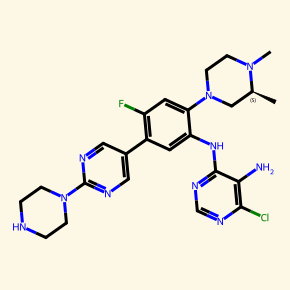 C[C@H]1CN(c2cc(F)c(-c3cnc(N4CCNCC4)nc3)cc2Nc2ncnc(Cl)c2N)CCN1C